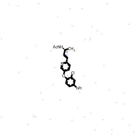 CCCc1ccc(Oc2ccc(/C=C/[C@H](C)NC(C)=O)nc2)c(Cl)c1